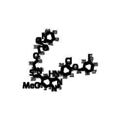 COc1cc2ncnc(Nc3ccc(OCc4cccc(F)c4)c(Cl)c3)c2cc1-c1csc(CCOCCS(=O)(=O)c2ccccn2)n1